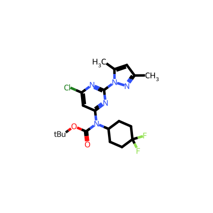 Cc1cc(C)n(-c2nc(Cl)cc(N(C(=O)OC(C)(C)C)C3CCC(F)(F)CC3)n2)n1